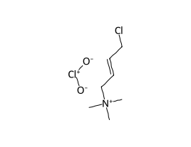 C[N+](C)(C)CC=CCCl.[O-][Cl+][O-]